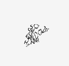 N=C(N)Nc1ccccc1.S=C([S-])N(Cc1ccccc1)Cc1ccccc1.[Zn+][c]1ccccc1